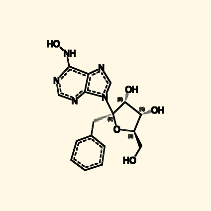 OC[C@H]1O[C@@](Cc2ccccc2)(n2cnc3c(NO)ncnc32)[C@H](O)[C@@H]1O